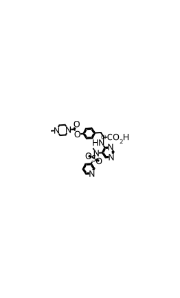 CN1CCN(C(=O)Oc2ccc(C[C@H](Nc3ncncc3N(C)S(=O)(=O)c3cccnc3)C(=O)O)cc2)CC1